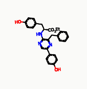 CCOC(=O)[C@H](Cc1ccc(O)cc1)Nc1ncc(-c2ccc(O)cc2)nc1Cc1ccccc1